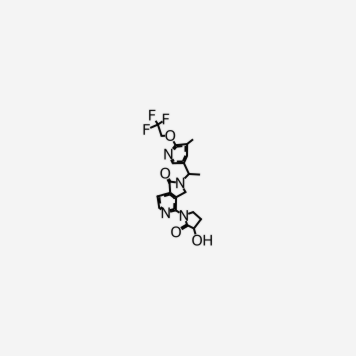 Cc1cc(C(C)N2Cc3c(ccnc3N3CCC(O)C3=O)C2=O)cnc1OCC(F)(F)F